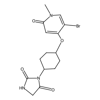 Cn1cc(Br)c(OC2CCC(N3C(=O)CNC3=O)CC2)cc1=O